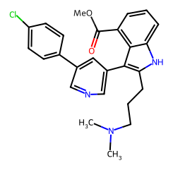 COC(=O)c1cccc2[nH]c(CCCN(C)C)c(-c3cncc(-c4ccc(Cl)cc4)c3)c12